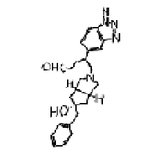 O=CCCC(CN1C[C@@H]2C[C@@](O)(Cc3ccccc3)C[C@@H]2C1)c1ccc2[nH]nnc2c1